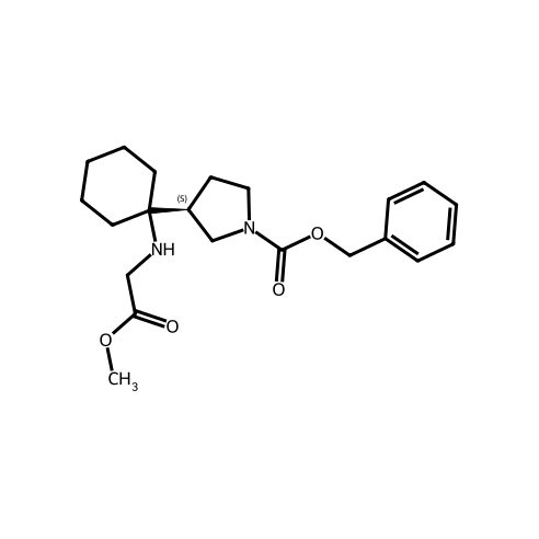 COC(=O)CNC1([C@H]2CCN(C(=O)OCc3ccccc3)C2)CCCCC1